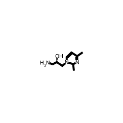 CC1=NC(C)N(C[C@H](O)CN)C=C1